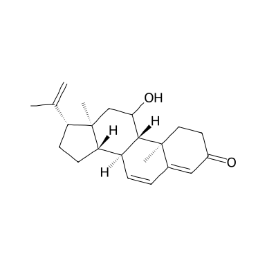 C=C(C)[C@H]1CC[C@H]2[C@@H]3C=CC4=CC(=O)CC[C@]4(C)[C@H]3C(O)C[C@]12C